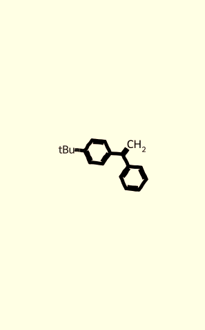 C=C(c1ccccc1)c1ccc(C(C)(C)C)cc1